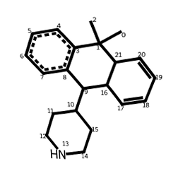 CC1(C)c2ccccc2C(C2CCNCC2)C2C=CC=CC21